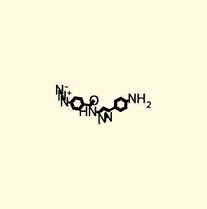 Cn1nc(-c2ccc(N)cc2)cc1NC(=O)c1ccc(N=[N+]=[N-])cc1